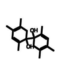 CC1=CC(C)=C(C)CC1(O)C1(O)CC(C)=C(C)C=C1C